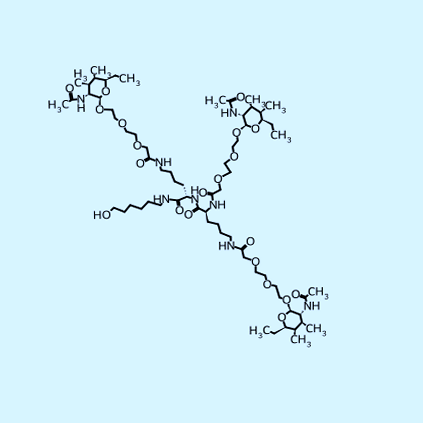 CC[C@H]1O[C@@H](OCCOCCOCC(=O)NCCCC[C@H](NC(=O)COCCOCCO[C@@H]2O[C@H](CC)[C@H](C)[C@H](C)[C@H]2NC(C)=O)C(=O)N[C@@H](CCCCNC(=O)COCCOCCO[C@@H]2O[C@H](CC)[C@H](C)[C@H](C)[C@H]2NC(C)=O)C(=O)NCCCCCCO)[C@H](NC(C)=O)[C@@H](C)[C@H]1C